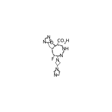 O=C(O)c1c[nH]cnc(N2CC(n3ccnc3)C2)c(F)cc(Cc2ncns2)c1=O